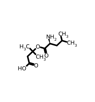 CC(C)C[C@H](N)C(=O)OC(C)(C)CC(=O)O